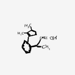 CC1=CCC(c2ccccc2C(C)[O][Ti])=C1C.Cl.Cl